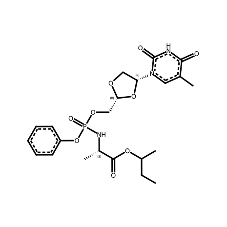 CCC(C)OC(=O)[C@H](C)NP(=O)(OC[C@@H]1OC[C@H](n2cc(C)c(=O)[nH]c2=O)O1)Oc1ccccc1